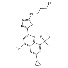 Cc1cc(-c2nnc(NCCCO)o2)nc2c(C(F)(F)F)cc(C3CC3)cc12